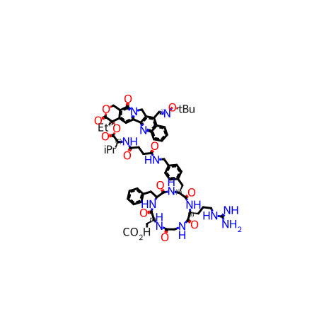 CC[C@@]1(OC(=O)[C@@H](NC(=O)CCC(=O)NCc2ccc(C[C@@H]3NC(=O)C(Cc4ccccc4)NC(=O)[C@H](CC(=O)O)NC(=O)CNC(=O)[C@H](CCCNC(=N)N)NC3=O)cc2)C(C)C)C(=O)OCc2c1cc1n(c2=O)Cc2c-1nc1ccccc1c2/C=N/OC(C)(C)C